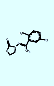 C/C(=N\N1CCOC1=O)c1cc(Cl)ccc1N